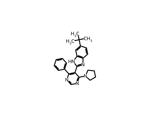 CC(C)(C)c1ccc2nc(-c3c(-c4ccccc4)ncnc3N3CCCC3)[nH]c2c1